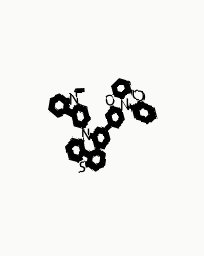 CCn1c2ccccc2c2cc(N(c3cccc(-c4ccc5c(c4)Oc4cccc6c4N5c4ccccc4O6)c3)c3cccc4sc5ccccc5c34)ccc21